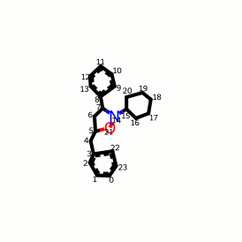 c1ccc(CC2CC(c3ccccc3)N(C3CCCCC3)O2)cc1